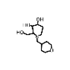 OCC1C(O)C(O)CCN1CC1CCOCC1